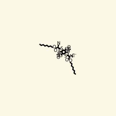 [C-]#[N+]C(C(=O)OCCCCCCCC)=C1Sc2c(OS(C)(=O)=O)c3c(c(OS(C)(=O)=O)c2S1)SC(=C(C#N)C(=O)OCCCCCCCC)S3